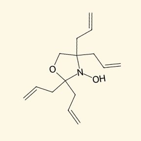 C=CCC1(CC=C)COC(CC=C)(CC=C)N1O